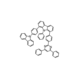 c1ccc(-c2cc(-c3ccccc3)nc(-c3ccc(-c4cccc5c6cccc(-c7ccc(-n8c9ccccc9c9ccccc98)cc7)c6n(-c6ccccc6)c45)cc3)n2)cc1